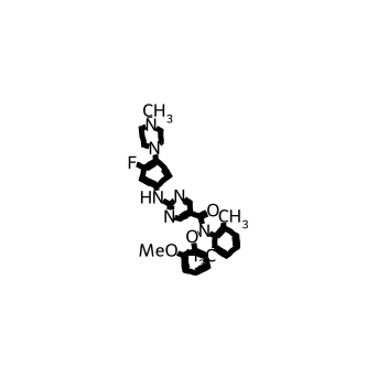 COc1ccccc1ON(C(=O)c1cnc(Nc2ccc(N3CCN(C)CC3)c(F)c2)nc1)c1c(C)cccc1C